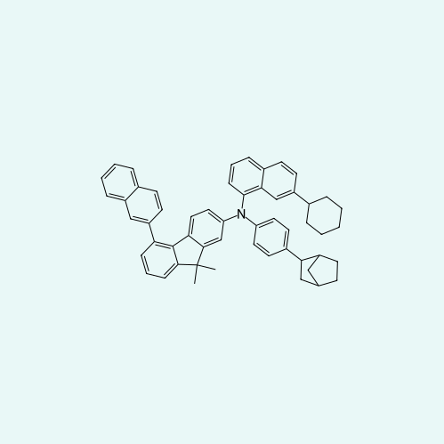 CC1(C)c2cc(N(c3ccc(C4CC5CCC4C5)cc3)c3cccc4ccc(C5CCCCC5)cc34)ccc2-c2c(-c3ccc4ccccc4c3)cccc21